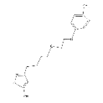 Cc1ccc(OCCOCCCCc2cc(C)on2)cc1